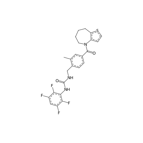 Cc1cc(C(=O)N2CCCCc3sccc32)ccc1CNC(=O)Nc1c(F)c(F)cc(F)c1F